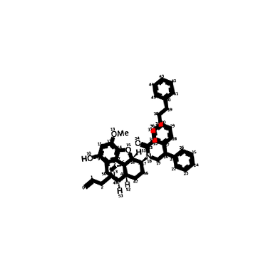 C=CCN1CC[C@]23c4c5c(O)cc(OC)c4O[C@H]2[C@@H](N(CC(c2ccccc2)c2ccccc2)C(=O)CCCCCc2ccccc2)CC[C@H]3[C@H]1C5